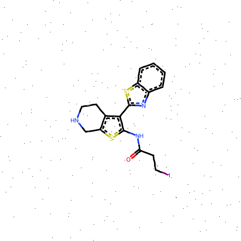 O=C(CCI)Nc1sc2c(c1-c1nc3ccccc3s1)CCNC2